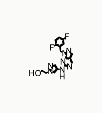 OCCn1cc(Nc2ncc3cnn(Cc4cc(F)ccc4F)c3n2)cn1